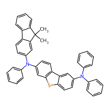 CC1(C)c2ccccc2-c2ccc(N(c3ccccc3)c3ccc4c(c3)sc3ccc(N(c5ccccc5)c5ccccc5)cc34)cc21